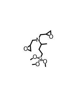 CO[Si](CCC(C)N(CC1CO1)CC1CO1)(OC)OC